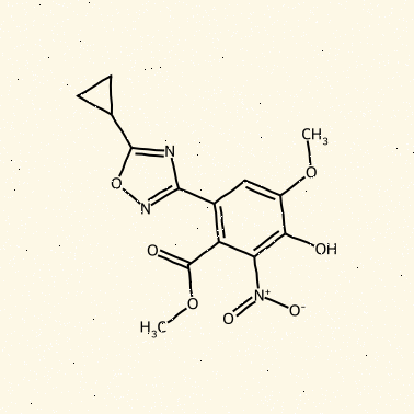 COC(=O)c1c(-c2noc(C3CC3)n2)cc(OC)c(O)c1[N+](=O)[O-]